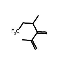 C=C(C)C(=C)C(C)CC(F)(F)F